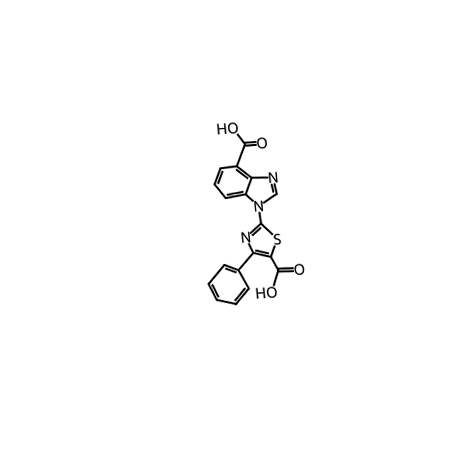 O=C(O)c1sc(-n2cnc3c(C(=O)O)cccc32)nc1-c1ccccc1